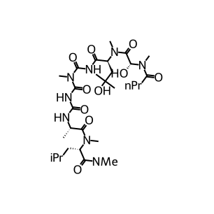 CCCC(=O)N(C)[C@H](O)C(=O)N(C)[C@@H](CC(C)(C)O)C(=O)NC(=O)N(C)C(=O)NC(=O)N[C@@H](C)C(=O)N(C)[C@@H](CC(C)C)C(=O)NC